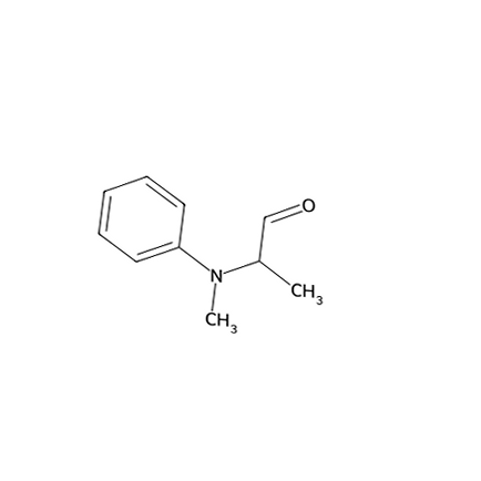 CC(C=O)N(C)c1ccccc1